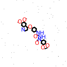 COc1cc2nccc(Oc3ccc(NC(=O)NN(C=O)c4ccc5c(c4)OCCO5)cc3)c2cc1OC